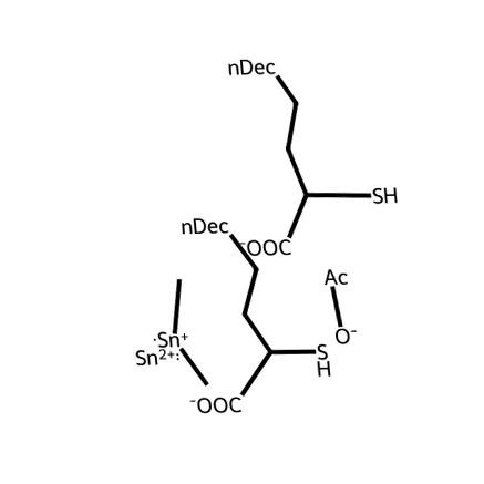 CC(=O)[O-].CCCCCCCCCCCCC(S)C(=O)[O-].CCCCCCCCCCCCC(S)C(=O)[O-].[CH3][Sn+][CH3].[Sn+2]